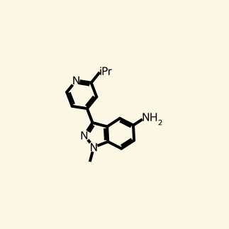 CC(C)c1cc(-c2nn(C)c3ccc(N)cc23)ccn1